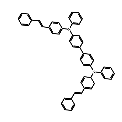 C1=CC(N(c2ccccc2)c2ccc(-c3ccc(N(c4ccccc4)c4ccc(/C=C/c5ccccc5)cc4)cc3)cc2)CC=C1/C=C/c1ccccc1